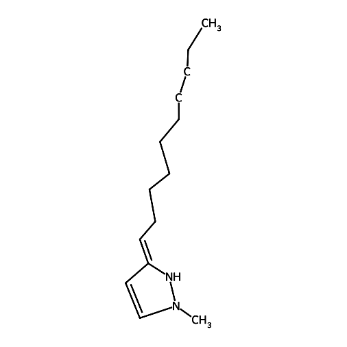 CCCCCCCCCC=C1C=CN(C)N1